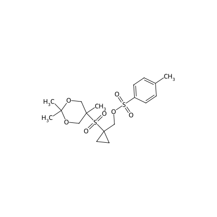 Cc1ccc(S(=O)(=O)OCC2(S(=O)(=O)C3(C)COC(C)(C)OC3)CC2)cc1